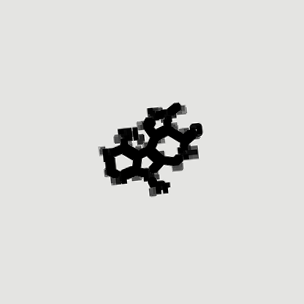 CC(C)n1c2c(c3c(N)ncnc31)-c1cnn(C)c1C(=O)NC2